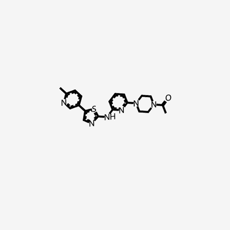 CC(=O)N1CCN(c2cccc(Nc3ncc(-c4ccc(C)nc4)s3)n2)CC1